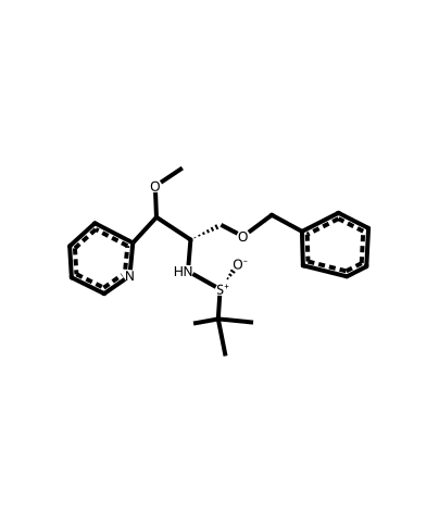 COC(c1ccccn1)[C@H](COCc1ccccc1)N[S@+]([O-])C(C)(C)C